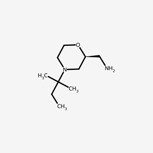 CCC(C)(C)N1CCO[C@@H](CN)C1